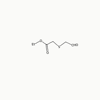 CCOC(=O)CSCC=O